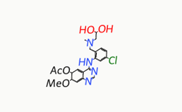 COC1C=c2ncnc(Nc3cc(Cl)ccc3CN(C)CC(O)O)c2=CC1OC(C)=O